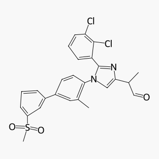 Cc1cc(-c2cccc(S(C)(=O)=O)c2)ccc1-n1cc(C(C)C=O)nc1-c1cccc(Cl)c1Cl